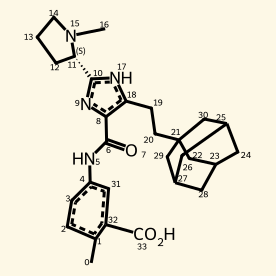 Cc1ccc(NC(=O)c2nc([C@@H]3CCCN3C)[nH]c2CCC23CC4CC(CC(C4)C2)C3)cc1C(=O)O